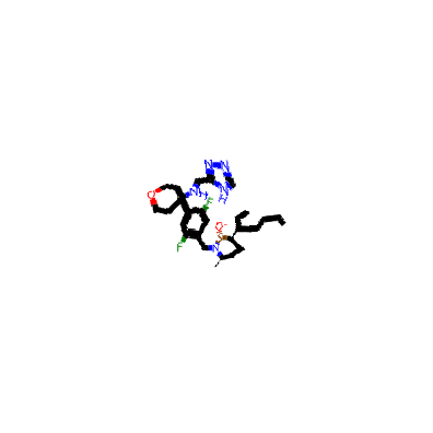 C=C/C(=C\C=C/C)[C@H]1CC[C@H](C)N(Cc2cc(F)c(C3(NCc4nnc[nH]4)CCOCC3)cc2F)[S+]1[O-]